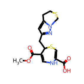 COC(=O)C1=CNC(C(=O)O)=CSC1Cc1cc2n(n1)CSCC2